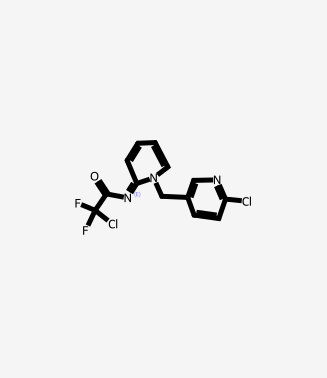 O=C(/N=c1\ccccn1Cc1ccc(Cl)nc1)C(F)(F)Cl